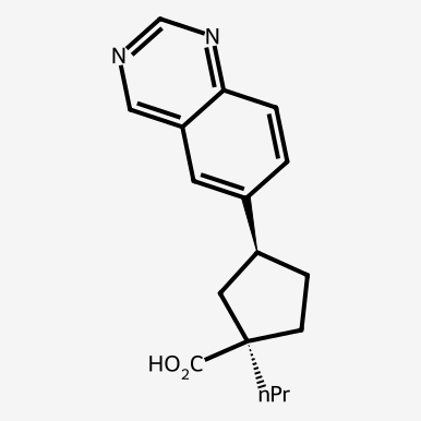 CCC[C@@]1(C(=O)O)CC[C@H](c2ccc3ncncc3c2)C1